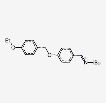 CCOc1ccc(COc2ccc(/C=N/C(C)CC)cc2)cc1